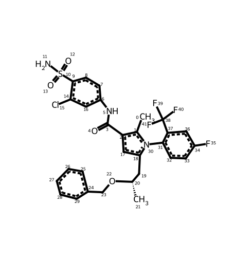 Cc1c(C(=O)Nc2ccc(S(N)(=O)=O)c(Cl)c2)cc(C[C@H](C)OCc2ccccc2)n1-c1ccc(F)cc1C(F)(F)F